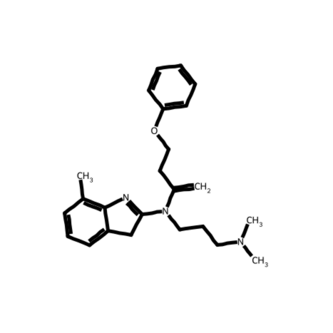 C=C(CCOc1ccccc1)N(CCCN(C)C)C1=Nc2c(C)cccc2C1